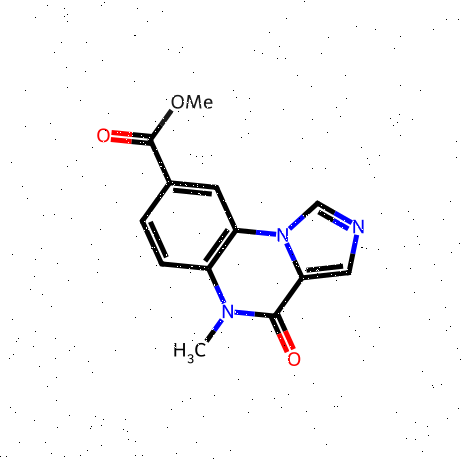 COC(=O)c1ccc2c(c1)n1cncc1c(=O)n2C